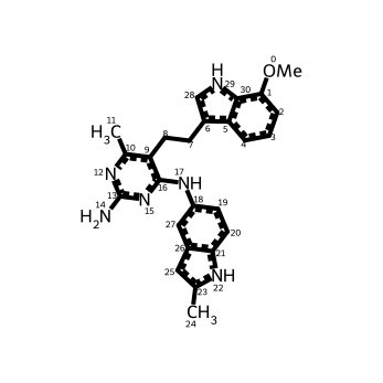 COc1cccc2c(CCc3c(C)nc(N)nc3Nc3ccc4[nH]c(C)cc4c3)c[nH]c12